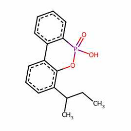 CCC(C)c1cccc2c1OP(=O)(O)c1ccccc1-2